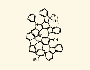 CC(C)(C)c1ccc(-c2c(-n3c4c(c5ccccc53)C=CCC4)c(C#N)c(-n3c4ccccc4c4c5c(c6c(c7ccccc7n6-c6ccccc6)c43)-c3ccccc3C5(C)C)c(C#N)c2-n2c3ccccc3c3ccccc32)cc1